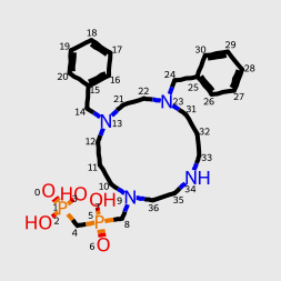 O=P(O)(O)CP(=O)(O)CN1CCCN(Cc2ccccc2)CCN(Cc2ccccc2)CCCNCC1